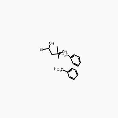 CCC(O)CC(C)(C)O.O=C(O)c1ccccc1.O=C(O)c1ccccc1